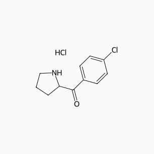 Cl.O=C(c1ccc(Cl)cc1)C1CCCN1